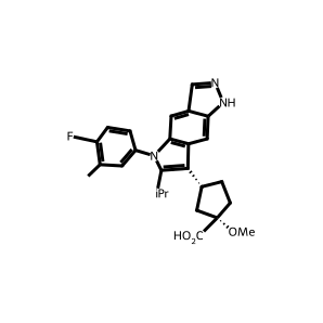 CO[C@@]1(C(=O)O)CC[C@@H](c2c(C(C)C)n(-c3ccc(F)c(C)c3)c3cc4cn[nH]c4cc23)C1